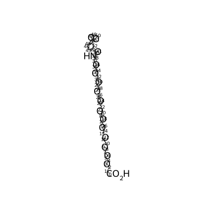 O=C(O)CCOCCOCCOCCOCCOCCOCCOCCOCCOCCOCCOCCOCCNC(=O)c1cccc(C2OCCO2)c1